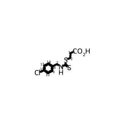 O=C(O)CCSC(=S)NCc1ccc(Cl)cc1